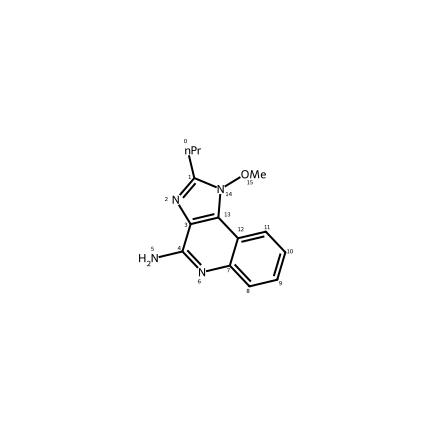 CCCc1nc2c(N)nc3ccccc3c2n1OC